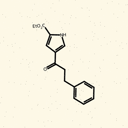 CCOC(=O)c1cc(C(=O)CCc2ccccc2)c[nH]1